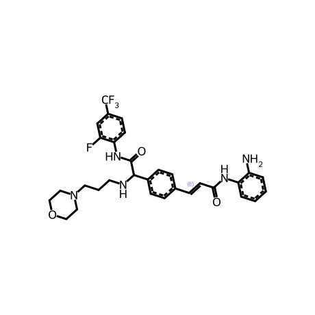 Nc1ccccc1NC(=O)/C=C/c1ccc(C(NCCCN2CCOCC2)C(=O)Nc2ccc(C(F)(F)F)cc2F)cc1